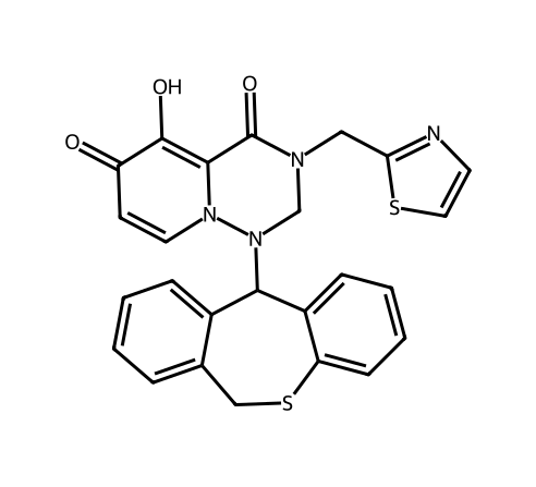 O=C1c2c(O)c(=O)ccn2N(C2c3ccccc3CSc3ccccc32)CN1Cc1nccs1